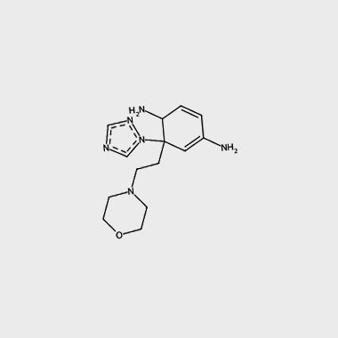 NC1=CC(CCN2CCOCC2)(n2cncn2)C(N)C=C1